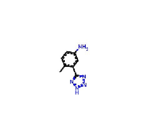 Cc1ccc(N)cc1-c1nn[nH]n1